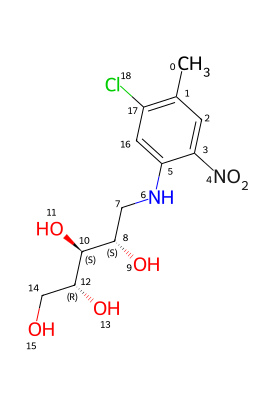 Cc1cc([N+](=O)[O-])c(NC[C@H](O)[C@H](O)[C@H](O)CO)cc1Cl